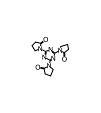 O=C1CCCN1c1nc(N2CCCC2=O)nc(N2CCCC2=O)n1